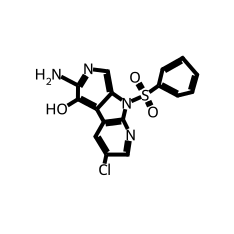 Nc1ncc2c(c1O)c1cc(Cl)cnc1n2S(=O)(=O)c1ccccc1